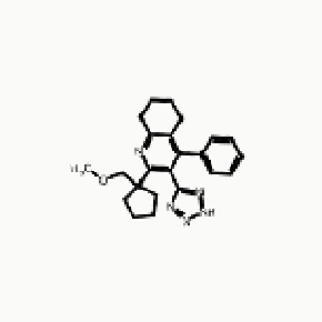 COCC1(c2nc3c(c(-c4ccccc4)c2-c2nn[nH]n2)CCCC3)CCCC1